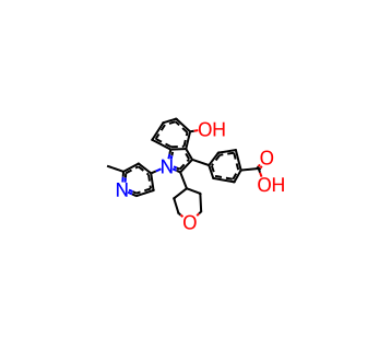 Cc1cc(-n2c(C3CCOCC3)c(-c3ccc(C(=O)O)cc3)c3c(O)cccc32)ccn1